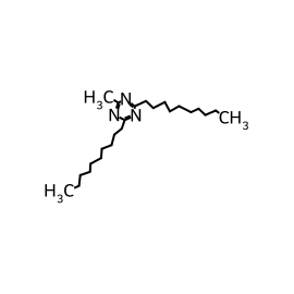 CCCCCCCCCCc1nc(C)nc(CCCCCCCCCC)n1